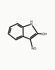 O=Nc1c(O)[nH]c2ccccc12